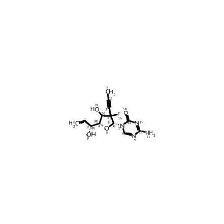 C=C[C@@H](O)[C@H]1O[C@@H](n2cnc(N)nc2=O)C(F)(C#CC)C1O